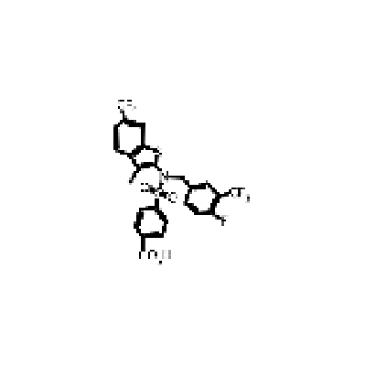 Cc1c(N(Cc2ccc(F)c(C(F)(F)F)c2)S(=O)(=O)c2ccc(C(=O)O)cc2)sc2cc(C(F)(F)F)ccc12